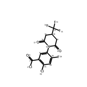 O=C(Cl)c1cc(N2C(=O)CC(C(F)(F)F)CC2=O)c(F)cc1Cl